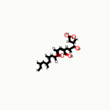 CCC(C)CC(C)CC(C)CC(C)C=C(C)C=C(CC(C)C(=O)[C@@H]1COC(=O)C1)C(=O)O